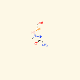 CN(BPCO)NC(=O)CN